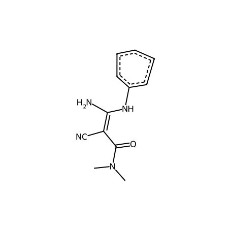 CN(C)C(=O)C(C#N)=C(N)Nc1ccccc1